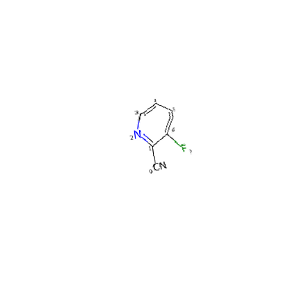 N#Cc1n[c]ccc1F